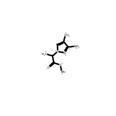 Cc1cn(C(C)C(=O)OC(C)(C)C)nc1N